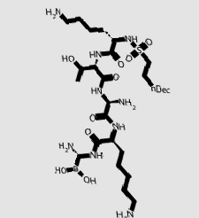 CCCCCCCCCCCCS(=O)(=O)N[C@@H](CCCCN)C(=O)N[C@H](C(=O)N[C@@H](N)C(=O)N[C@@H](CCCCCN)C(=O)N[C@@H](N)B(O)O)C(C)O